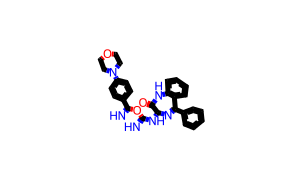 N=C(NC1N=C(c2ccccc2)c2ccccc2NC1=O)OC(=N)c1ccc(N2CCOCC2)cc1